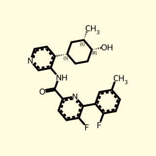 Cc1ccc(F)c(-c2nc(C(=O)Nc3cnccc3[C@H]3CC[C@@H](O)[C@@H](C)C3)ccc2F)c1